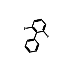 Fc1cccc(F)c1-c1cc[c]cc1